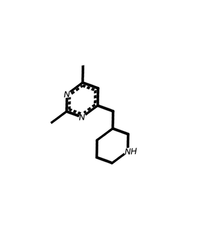 Cc1cc(CC2CCCNC2)nc(C)n1